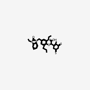 CCCc1cc(Cn2c(=O)n(CC)c3ccccc32)cc(CCC)c1OC(C(=O)O)C1=C(C)C(=S)CC(=S)C1